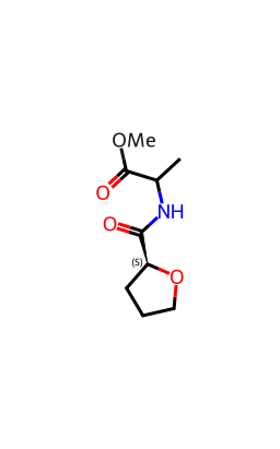 COC(=O)C(C)NC(=O)[C@@H]1CCCO1